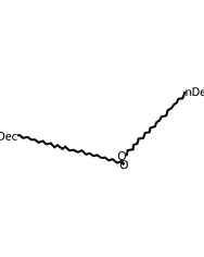 CCCCCCCCCCCCCCCCCCCCCCCCCCCCCCCCCCCCC(=O)OCCCCCCCCCCCCCCCCCCCCCCCCCCCCCCCC